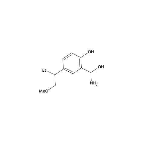 CCC(COC)c1ccc(O)c(C(N)O)c1